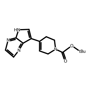 CC(C)(C)OC(=O)N1CC=C(c2c[nH]c3nccnc23)CC1